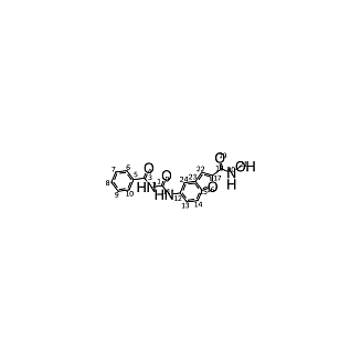 O=C(NC(=O)c1ccccc1)Nc1ccc2oc(C(=O)NO)cc2c1